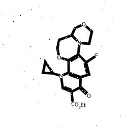 CCOC(=O)c1cn(C2CC2)c2c3c(c(F)cc2c1=O)N1CCOCC1CCO3